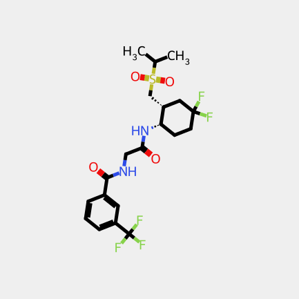 CC(C)S(=O)(=O)C[C@@H]1CC(F)(F)CC[C@@H]1NC(=O)CNC(=O)c1cccc(C(F)(F)F)c1